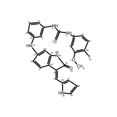 COc1cc(NC(=O)Nc2cccc(Nc3ccc4c(c3)NC(=O)/C4=C\c3ccc[nH]3)c2)ccc1F